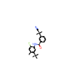 Cc1cc(F)c(NC(=O)c2cccc(C(C)(C)C#N)c2)cc1C(C)(C)C